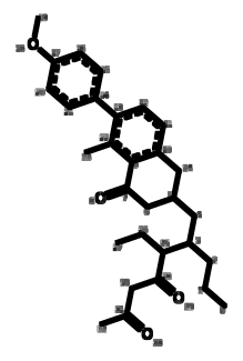 CCCC(CC1CC(=O)c2c(ccc(-c3ccc(OC)cc3)c2C)C1)C(CC)C(=O)CC(C)=O